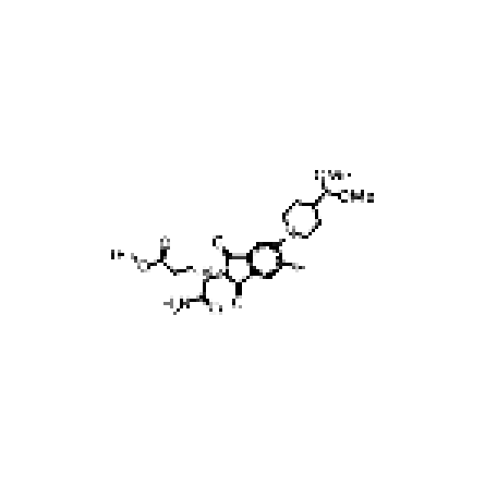 COC(OC)C1CCN(c2cc3c(cc2F)C(=O)N([C@@H](CCC(=O)OC(C)(C)C)C(N)=O)C3=O)CC1